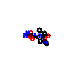 COc1ccc(C2CCCCC2)c2c1cc1n2CC2=C(C(=O)NS(=O)(=O)c3cn(C)cn3)C2=C2C=CC[C@@H](C(=O)N3C4CCC3CN(C)C4)C21